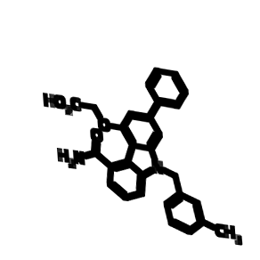 Cc1cccc(Cn2c3cc(-c4ccccc4)cc(OCC(=O)O)c3c3c(C(N)=O)cccc32)c1